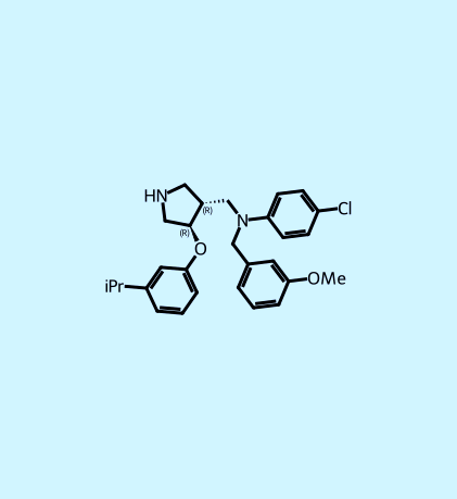 COc1cccc(CN(C[C@H]2CNC[C@@H]2Oc2cccc(C(C)C)c2)c2ccc(Cl)cc2)c1